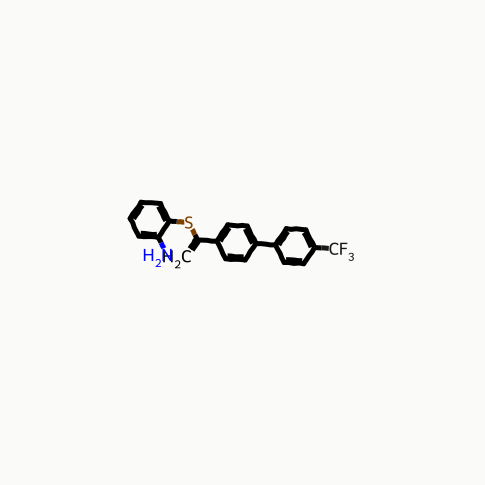 C=C(Sc1ccccc1N)c1ccc(-c2ccc(C(F)(F)F)cc2)cc1